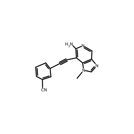 Cn1cnc2cnc(N)c(C#Cc3cccc(C#N)c3)c21